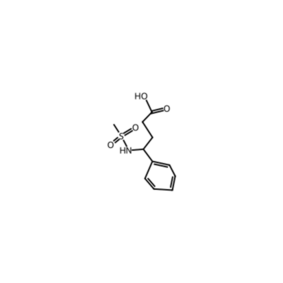 CS(=O)(=O)NC(CCC(=O)O)c1ccccc1